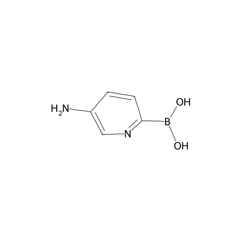 Nc1ccc(B(O)O)nc1